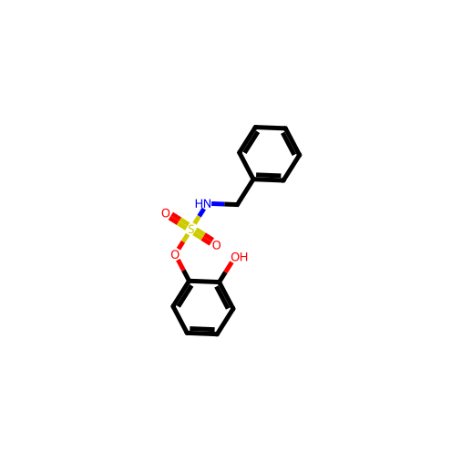 O=S(=O)(NCc1ccccc1)Oc1ccccc1O